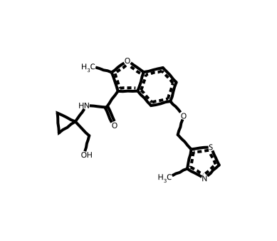 Cc1ncsc1COc1ccc2oc(C)c(C(=O)NC3(CO)CC3)c2c1